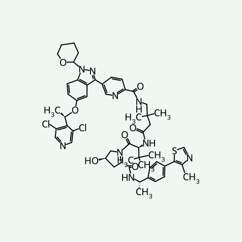 Cc1ncsc1-c1ccc([C@H](C)NC(=O)[C@@H]2C[C@@H](O)CN2C(=O)[C@@H](NC(=O)CC(C)(C)CNC(=O)c2ccc(-c3nn(C4CCCCO4)c4ccc(O[C@H](C)c5c(Cl)cncc5Cl)cc34)cn2)C(C)(C)C)cc1